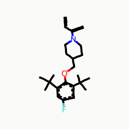 C=CC(=C)N1CCC(COc2c(C(C)(C)C)cc(F)cc2C(C)(C)C)CC1